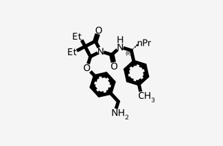 CCC[C@@H](NC(=O)N1C(=O)C(CC)(CC)C1Oc1ccc(CN)cc1)c1ccc(C)cc1